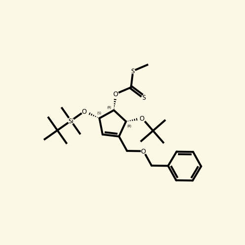 CSC(=S)O[C@H]1[C@@H](O[Si](C)(C)C(C)(C)C)C=C(COCc2ccccc2)[C@H]1OC(C)(C)C